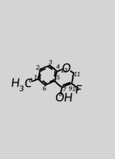 Cc1ccc2c(c1)C(O)=C(F)CO2